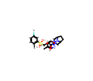 Cc1ccc(N2C3CCC2CN(C(=O)CCS(=O)(=O)c2cc(F)ccc2C)C3)nc1